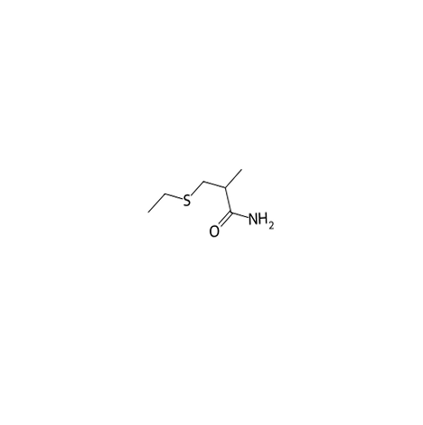 CCSCC(C)C(N)=O